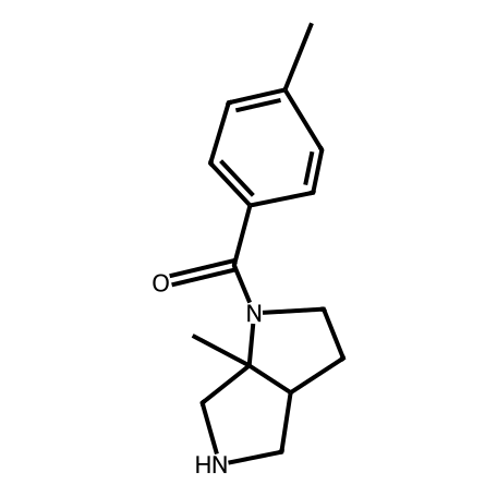 Cc1ccc(C(=O)N2CCC3CNCC32C)cc1